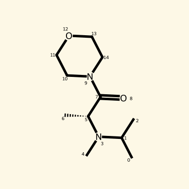 CC(C)N(C)[C@H](C)C(=O)N1CCOCC1